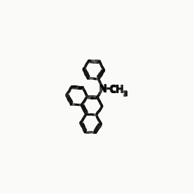 CN(C1=c2ccccc2=C2C=CC=CC2C1)c1ccccc1